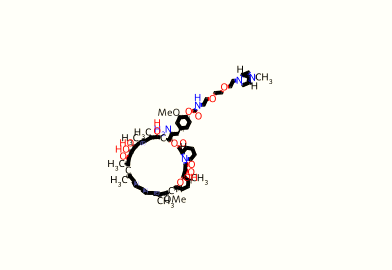 CO[C@H]1C[C@@H]2CC[C@@H](C)[C@@](O)(O2)C(=O)C(=O)N2CCCC[C@H]2C(=O)O[C@H]([C@H](N)C[C@@H]2CC[C@@H](OC(=O)NCCOCCOCCN3C[C@@H]4C[C@H]3CN4C)[C@H](OC)C2)C[C@@H](O)[C@H](C)/C=C(\C)[C@@H](O)[C@@H](O)C(=O)[C@H](C)C[C@H](C)/C=C/C=C/C=C/1C